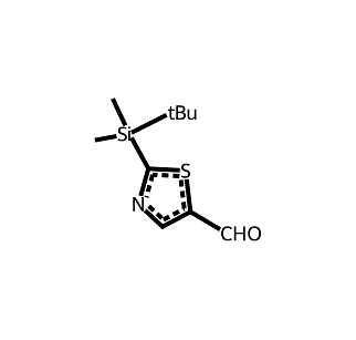 CC(C)(C)[Si](C)(C)c1ncc(C=O)s1